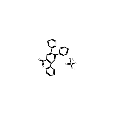 NS(N)(=O)=O.O=I(=O)c1cc(-c2ccccc2)c(-c2ccccc2)cc1-c1ccccc1